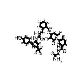 Cc1ccc(C(=O)NCC(N)=O)cc1-n1c(C)cc(OCc2ccccc2CNC(=O)Nc2cc(C(C)(C)C)nn2-c2ccc(O)cc2)c(Cl)c1=O